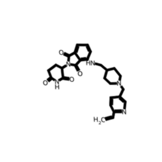 C=Cc1ccc(CN2CCC(CNc3cccc4c3C(=O)N(C3CCC(=O)NC3=O)C4=O)CC2)cn1